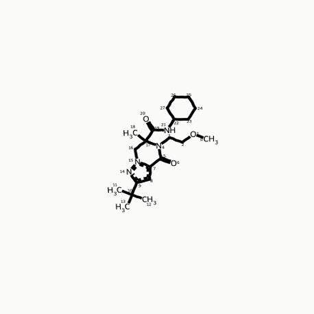 COCCN1C(=O)c2cc(C(C)(C)C)nn2CC1(C)C(=O)NC1CCCCC1